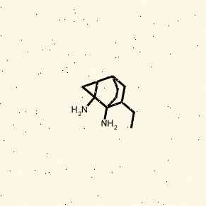 CCC1CC2CCC1(N)C1(N)CC21